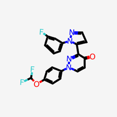 O=c1ccn(-c2ccc(OC(F)F)cc2)nc1-c1ccnn1-c1cccc(F)c1